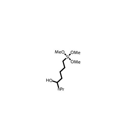 CCCC(O)CCCC[Si](OC)(OC)OC